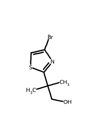 CC(C)(CO)c1nc(Br)cs1